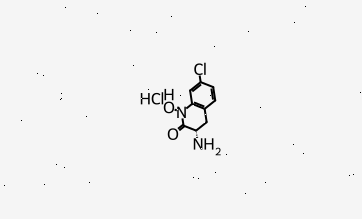 Cl.N[C@H]1Cc2ccc(Cl)cc2N(O)C1=O